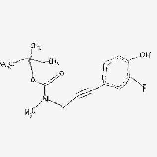 CN(CC#Cc1ccc(O)c(F)c1)C(=O)OC(C)(C)C